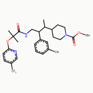 CC(C1CCN(C(=O)OC(C)(C)C)CC1)C(CNC(=O)C(C)(C)Oc1ccc(C(F)(F)F)cn1)c1cccc(C#N)c1